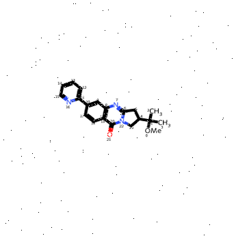 COC(C)(C)C1Cc2nc3cc(-c4ccccn4)ccc3c(=O)n2C1